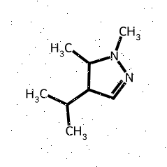 CC(C)C1C=NN(C)C1C